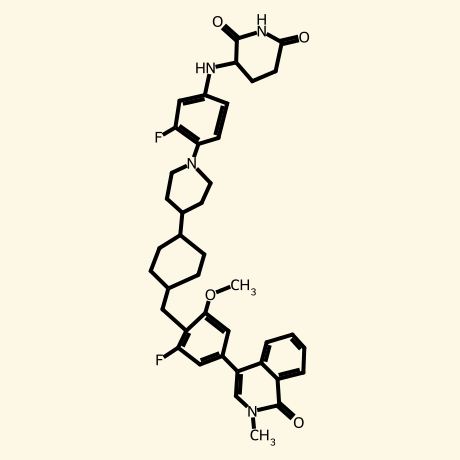 COc1cc(-c2cn(C)c(=O)c3ccccc23)cc(F)c1CC1CCC(C2CCN(c3ccc(NC4CCC(=O)NC4=O)cc3F)CC2)CC1